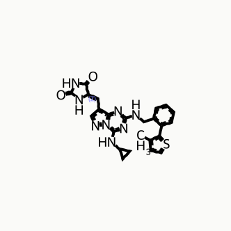 Cc1ccsc1-c1ccccc1CNc1nc(NC2CC2)n2ncc(/C=C3\NC(=O)NC3=O)c2n1